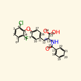 Cc1ccc(Cl)c(Oc2ccc(/C=C(/NC(=O)c3ccccc3)C(=O)O)cc2)c1F